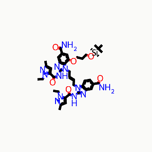 CCn1nc(C)cc1C(=O)Nc1nc2cc(C(N)=O)ccc2n1CC=CCn1c(NC(=O)c2cc(C)nn2CC)nc2cc(C(N)=O)cc(OCCCO[Si](C)(C)C(C)(C)C)c21